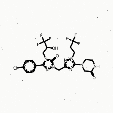 O=C1CN(c2nc(Cn3nc(-c4ccc(Cl)cc4)n(CC(O)C(F)(F)F)c3=O)nn2CCC(F)(F)F)CCN1